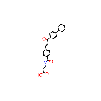 O=C(O)CCNC(=O)c1ccc(C=CC(=O)c2ccc(C3CCCCC3)cc2)cc1